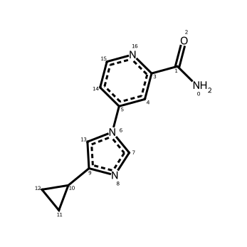 NC(=O)c1cc(-n2cnc(C3CC3)c2)ccn1